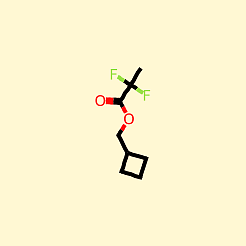 CC(F)(F)C(=O)OCC1CCC1